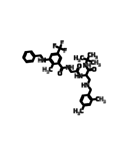 Cc1ccc(CNCC(NC(=O)CNC(=O)c2cc(C(F)(F)F)cc(NCc3ccccc3)c2C)C(=O)NC(C)(C)C)c(C)c1